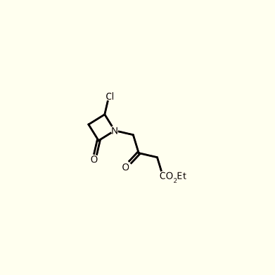 CCOC(=O)CC(=O)CN1C(=O)CC1Cl